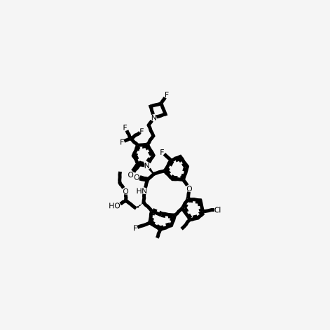 CCOC(O)C[C@@H]1NC(=O)[C@@H](n2cc(CCN3CC(F)C3)c(C(F)(F)F)cc2=O)c2cc(ccc2F)Oc2cc(Cl)cc(C)c2-c2cc(C)c(F)c1c2